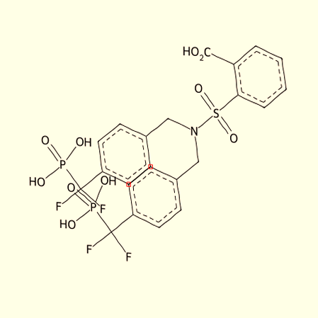 O=C(O)c1ccccc1S(=O)(=O)N(Cc1ccc(C(F)(F)P(=O)(O)O)cc1)Cc1ccc(C(F)(F)P(=O)(O)O)cc1